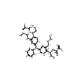 C=C(C)C(=O)OC(CC)c1ccc(N(c2ccccc2)c2ccc(C(CC)OC(=O)C(=C)C)c(CCCC)c2)cc1CCCC